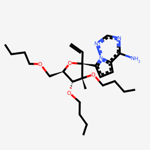 C=C[C@@]1(c2ccc3c(N)ncnn23)O[C@H](COCCCC)[C@@H](OCCCC)[C@@]1(C)OCCCC